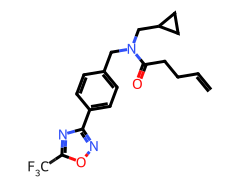 C=CCCC(=O)N(Cc1ccc(-c2noc(C(F)(F)F)n2)cc1)CC1CC1